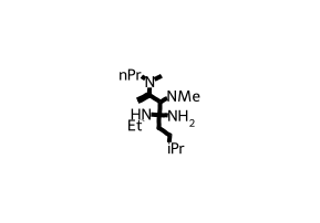 C=C(C(NC)C(N)(CCC(C)C)NCC)N(C)CCC